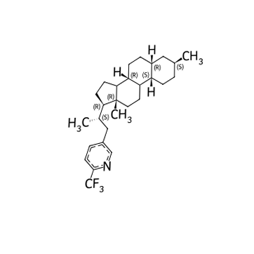 C[C@H]1CC[C@@H]2C3CC[C@@]4(C)C(CC[C@@H]4[C@@H](C)Cc4ccc(C(F)(F)F)nc4)[C@@H]3CC[C@@H]2C1